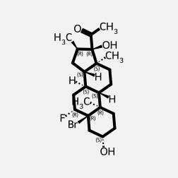 CC(=O)[C@@]1(O)[C@H](C)C[C@H]2[C@@H]3C[C@@H](F)[C@@]4(Br)C[C@@H](O)CC[C@]4(C)[C@H]3CC[C@@]21C